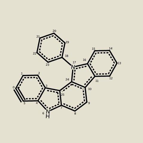 c1ccc2c(c#1)[nH]c1ccc3c4ccccc4n(-c4ccccc4)c3c12